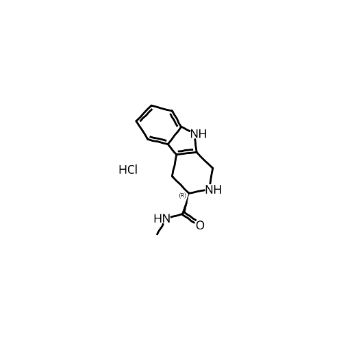 CNC(=O)[C@H]1Cc2c([nH]c3ccccc23)CN1.Cl